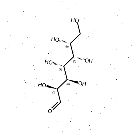 O=C[C@@H](O)[C@H](O)[C@H](O)[C@@H](O)[C@H](O)CO